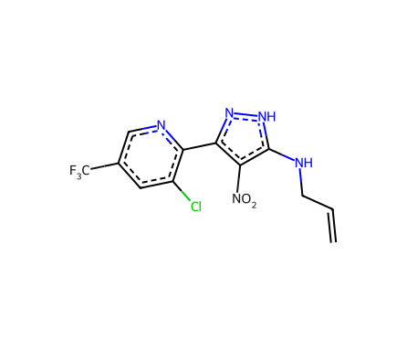 C=CCNc1[nH]nc(-c2ncc(C(F)(F)F)cc2Cl)c1[N+](=O)[O-]